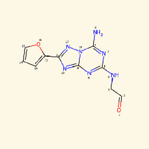 Nc1nc(NCC=O)nc2nc(-c3ccco3)nn12